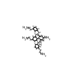 NCCc1cccc(CNc2nc(N)nc(N(Cc3cccc(CCN)c3)Cc3cccc(CCN)c3)n2)c1